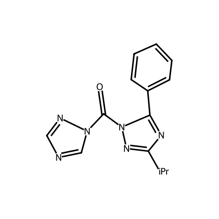 CC(C)c1nc(-c2ccccc2)n(C(=O)n2cncn2)n1